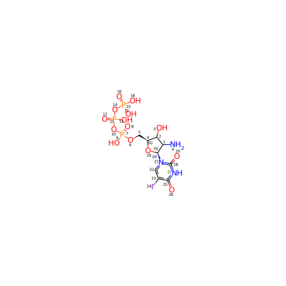 NC1C(O)[C@H](COP(=O)(O)OP(=O)(O)OP(=O)(O)O)O[C@@H]1n1cc(I)c(=O)[nH]c1=O